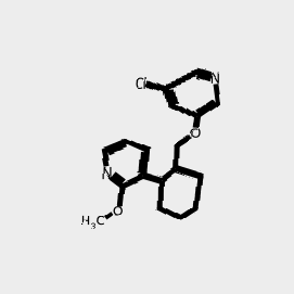 COc1ncccc1C1CCCCC1COc1cncc(Cl)c1